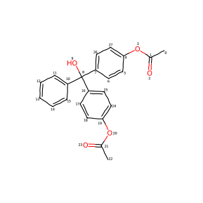 CC(=O)Oc1ccc(C(O)(c2ccccc2)c2ccc(OC(C)=O)cc2)cc1